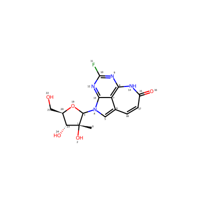 C[C@]1(O)C(n2cc3c4c(nc(F)nc42)NC(=O)C=C3)O[C@H](CO)[C@H]1O